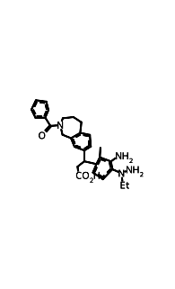 CCN(N)c1ccc(C(CC(=O)O)c2ccc3c(c2)CN(C(=O)c2ccccc2)CCC3)c(C)c1N